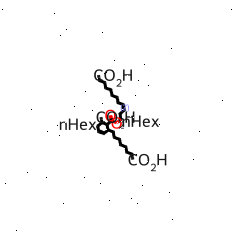 CCCCCCC(C/C=C\CCCCCCCC(=O)O)OC(=O)C1C(CCCCCCCC(=O)O)C=CC(CCCCCC)C1C(=O)O